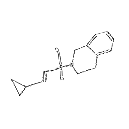 O=S(=O)(/C=C/C1CC1)N1CCc2ccccc2C1